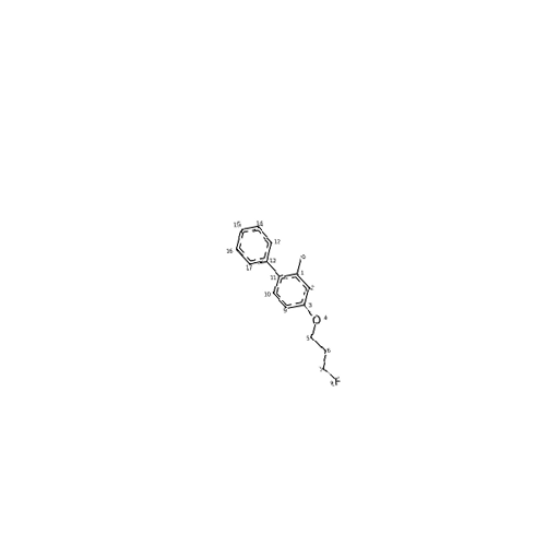 Cc1cc(OCCCF)ccc1-c1ccccc1